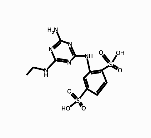 CCNc1nc(N)nc(Nc2cc(S(=O)(=O)O)ccc2S(=O)(=O)O)n1